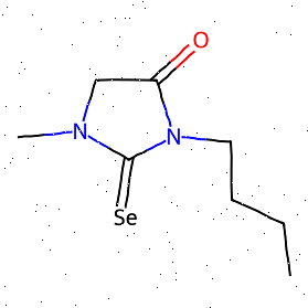 CCCCN1C(=O)CN(C)C1=[Se]